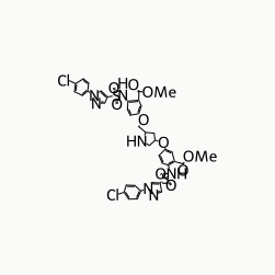 COC(=O)c1cc(OCC2CC(Oc3ccc(NS(=O)(=O)c4cnn(-c5ccc(Cl)cc5)c4)c(C(=O)OC)c3)CN2)ccc1NS(=O)(=O)c1cnn(-c2ccc(Cl)cc2)c1